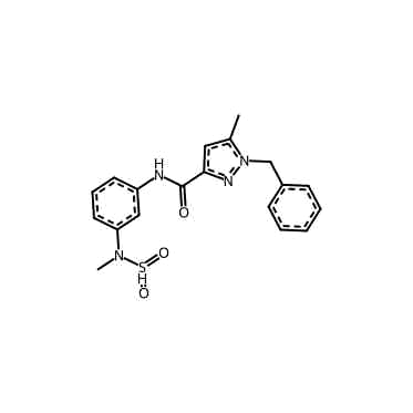 Cc1cc(C(=O)Nc2cccc(N(C)[SH](=O)=O)c2)nn1Cc1ccccc1